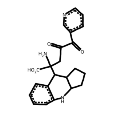 NC(CC(=O)C(=O)c1cccnc1)(C(=O)O)C1c2ccccc2NC2CCCC21